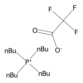 CCCC[P+](CCCC)(CCCC)CCCC.O=C([O-])C(F)(F)F